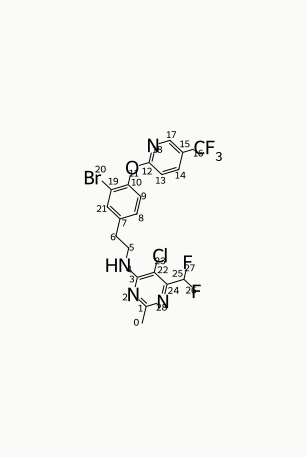 Cc1nc(NCCc2ccc(Oc3ccc(C(F)(F)F)cn3)c(Br)c2)c(Cl)c(C(F)F)n1